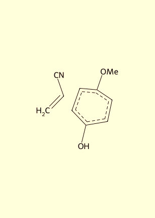 C=CC#N.COc1ccc(O)cc1